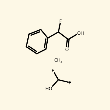 C.O=C(O)C(F)c1ccccc1.OC(F)F